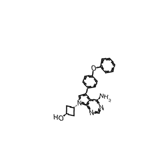 Nc1ncnc2c1c(-c1ccc(Oc3ccccc3)cc1)cn2[C@H]1C[C@H](O)C1